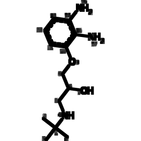 CC(C)(C)NCC(O)COc1cccc(N)c1N